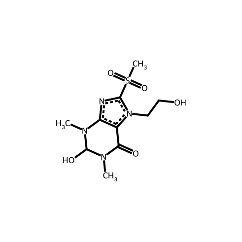 CN1C(=O)c2c(nc(S(C)(=O)=O)n2CCO)N(C)C1O